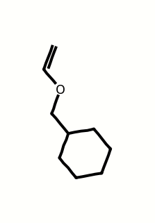 C=COCC1CCCCC1